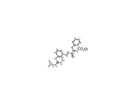 CCOC(=O)CN(Cc1ccccc1)C(=O)C=Cc1cccc2c1CCN(CC1CC1)C2